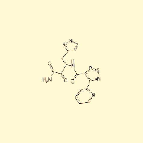 NC(=O)C(=O)C(Cc1ccns1)NC(=O)c1nsnc1-c1ccccn1